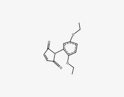 CCOc1ccc(OCC)c(N2C(=O)C=CC2=O)c1